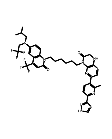 Cc1nc(-c2nc[nH]n2)ccc1-c1cnc2c(n1)N(CCCCCCn1c(=O)cc(C(F)(F)F)c3cc(N(CC(C)C)CC(F)(F)F)ccc31)C(=O)CN2